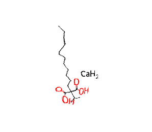 CCCCCCCCCCCC(C(=O)O)(C(=O)O)C(C)C.[CaH2]